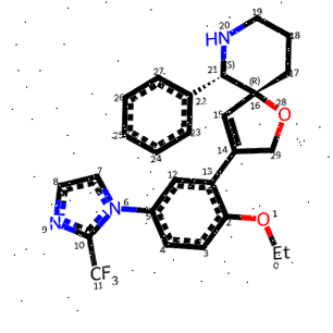 CCOc1ccc(-n2ccnc2C(F)(F)F)cc1C1=C[C@@]2(CCCN[C@H]2c2ccccc2)OC1